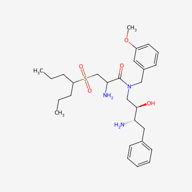 CCCC(CCC)S(=O)(=O)CC(N)C(=O)N(Cc1cccc(OC)c1)C[C@@H](O)[C@@H](N)Cc1ccccc1